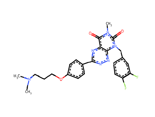 CN(C)CCCOc1ccc(-c2nnc3c(n2)c(=O)n(C)c(=O)n3Cc2ccc(F)c(F)c2)cc1